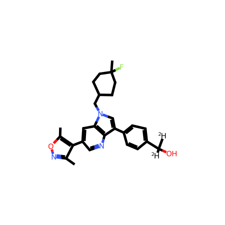 [2H]C([2H])(O)c1ccc(-c2cn(CC3CCC(C)(F)CC3)c3cc(-c4c(C)noc4C)cnc23)cc1